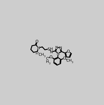 COc1cccc(OC)c1-n1c(NSCCN2C(=O)CCC[C@H]2C)nnc1-c1ccco1